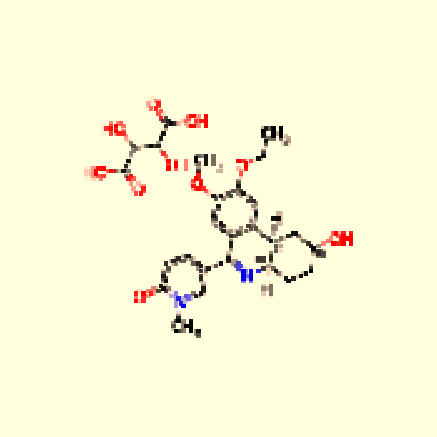 CCOc1cc2c(cc1OC)C(c1ccc(=O)n(C)c1)=N[C@@H]1CC[C@@H](O)C[C@H]21.O=C(O)C(O)C(O)C(=O)O